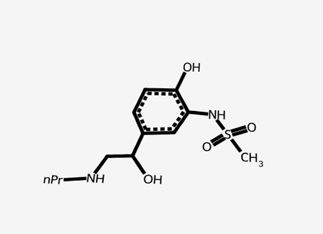 CCCNCC(O)c1ccc(O)c(NS(C)(=O)=O)c1